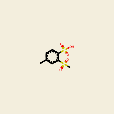 Cc1ccc(S(=O)(=O)O)c(S(C)(=O)=O)c1